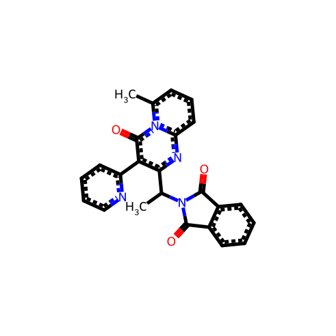 Cc1cccc2nc(C(C)N3C(=O)c4ccccc4C3=O)c(-c3ccccn3)c(=O)n12